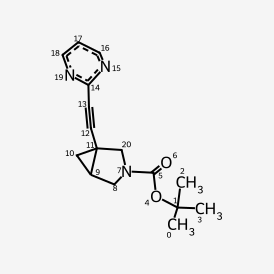 CC(C)(C)OC(=O)N1CC2CC2(C#Cc2ncccn2)C1